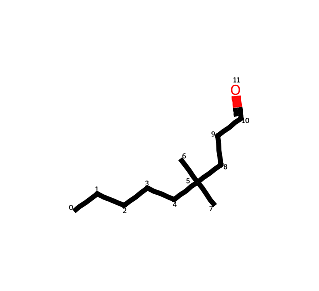 CCCCCC(C)(C)CCC=O